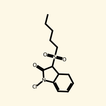 CCCCCS(=O)(=O)C1C(=O)N(Cl)C2=CC=CCC21